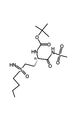 CCCCS(=N)(=O)CC[C@H](NC(=O)OC(C)(C)C)C(=O)NS(C)(=O)=O